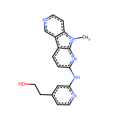 Cn1c2ccncc2c2ccc(Nc3cc(CCO)ccn3)nc21